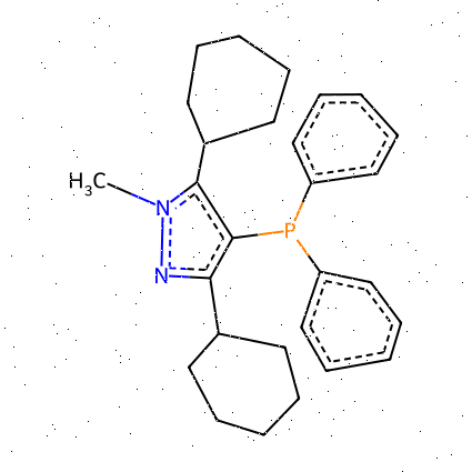 Cn1nc(C2CCCCC2)c(P(c2ccccc2)c2ccccc2)c1C1CCCCC1